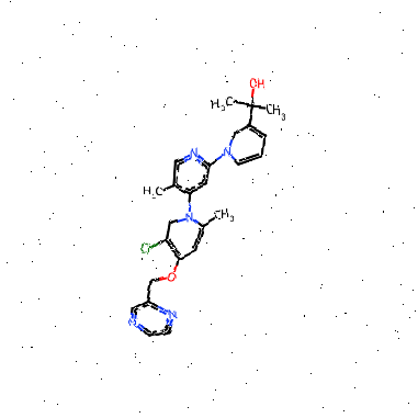 CC1=CC(OCc2cnccn2)=C(Cl)CN1c1cc(N2C=CC=C(C(C)(C)O)C2)ncc1C